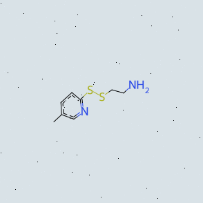 Cc1ccc(SSCCN)nc1